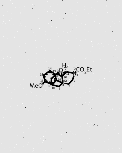 CCOC(=O)N1CC[C@]23CCCC4OC42[C@H]1Cc1ccc(OC)cc13